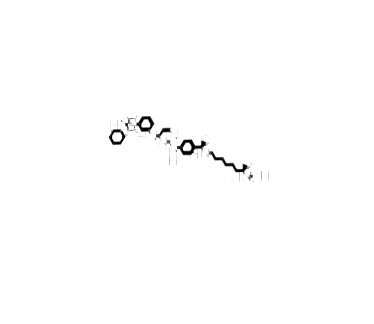 O=C(CCCCCCNC(=O)c1ccc(Nc2nccc(Nc3cccc(S(=O)(=O)NC4CCCCC4)c3)n2)cc1)NO